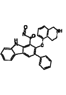 O=NC(=O)c1c(Oc2cccc3c2CCNC3)c(-c2ccccc2)cc2c1[nH]c1ccccc12